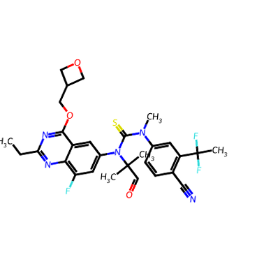 CCc1nc(OCC2COC2)c2cc(N(C(=S)N(C)c3ccc(C#N)c(C(C)(F)F)c3)C(C)(C)C=O)cc(F)c2n1